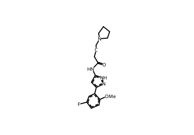 COc1ccc(F)cc1-c1cc(NC(=O)CCCN2CCCC2)[nH]n1